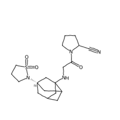 N#CC1CCCN1C(=O)CNC12CC3CC1C[C@@](N1CCCS1(=O)=O)(C3)C2